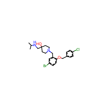 CC(C)NCC1(O)CCN(Cc2cc(Br)ccc2OCc2ccc(Cl)cc2)CC1